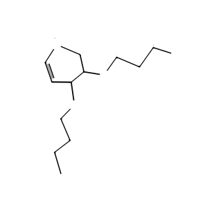 CCCCOC1C=COCC1OCCCC